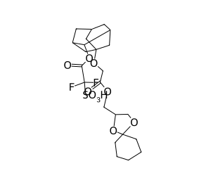 O=C(COC12CC3CC(C1)C(OC(=O)C(F)(F)S(=O)(=O)O)C(C3)C2)OCC1COC2(CCCCC2)O1